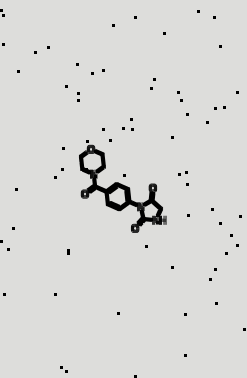 O=C(c1ccc(N2C(=O)CNC2=O)cc1)N1CCOCC1